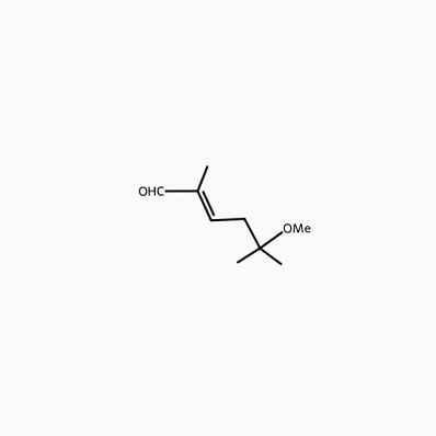 COC(C)(C)C/C=C(\C)C=O